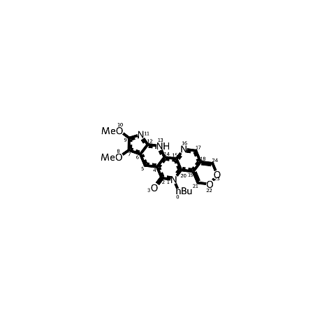 CCCCn1c(=O)c2cc3c(OC)c(OC)nc-3[nH]c2c2ncc3c(c21)=COOC=3